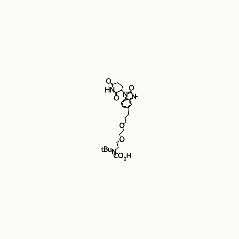 Cn1c(=O)n(C2CCC(=O)NC2=O)c2ccc(CCCOCCOCCN(C(=O)O)C(C)(C)C)cc21